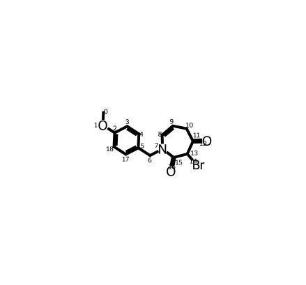 COc1ccc(CN2C=CCC(=O)C(Br)C2=O)cc1